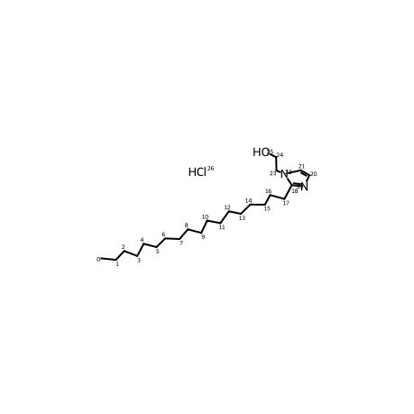 CCCCCCCCCCCCCCCCCCc1nccn1CCO.Cl